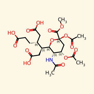 COC(=O)[C@]1(OC(C)=O)C[C@H](OC(C)=O)[C@H](NC(C)=O)[C@@H]([C@@H](CC(=O)O)[C@H](CCC(=O)O)CC(=O)O)O1